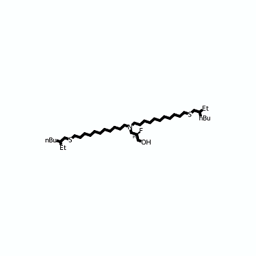 CCCCC(CC)CSCCCCCCCCCCCN(CCCCCCCCCCCSCC(CC)CCCC)C[C@@H](F)CO